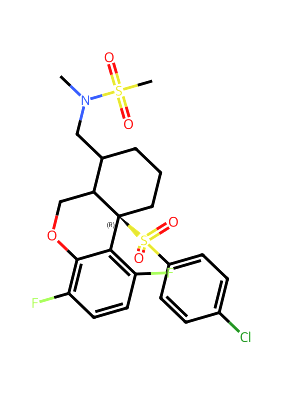 CN(CC1CCC[C@]2(S(=O)(=O)c3ccc(Cl)cc3)c3c(F)ccc(F)c3OCC12)S(C)(=O)=O